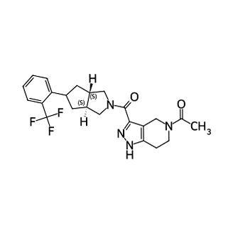 CC(=O)N1CCc2[nH]nc(C(=O)N3C[C@H]4CC(c5ccccc5C(F)(F)F)C[C@@H]4C3)c2C1